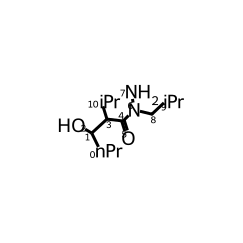 CCCC(O)C(C(=O)N(N)CC(C)C)C(C)C